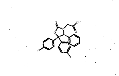 O=C(O)CN1C(=O)OC(c2ccc(F)cc2)(c2ccc(F)cc2)[C@@H]1c1ccccc1